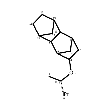 CC(C)[C@H](C)OC1CC2CC1C1C3CCC(C3)C21